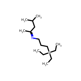 CC[Si](CC)(CC)CCCN=C(C)CC(C)C